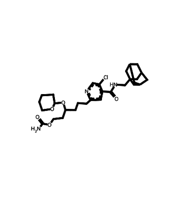 NC(=O)OCCC(CCCc1cc(C(=O)NCC23CC4CC(CC(C4)C2)C3)c(Cl)cn1)OC1CCCCO1